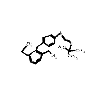 CCc1cccc(CC)c1Cc1ccc(N=C=NC(C)(C)C)cc1